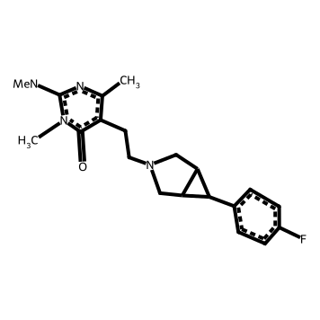 CNc1nc(C)c(CCN2CC3C(C2)C3c2ccc(F)cc2)c(=O)n1C